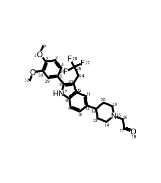 COc1ccc(-c2[nH]c3ccc(C4CCN(CC=O)CC4)cc3c2CC(F)(F)F)cc1OC